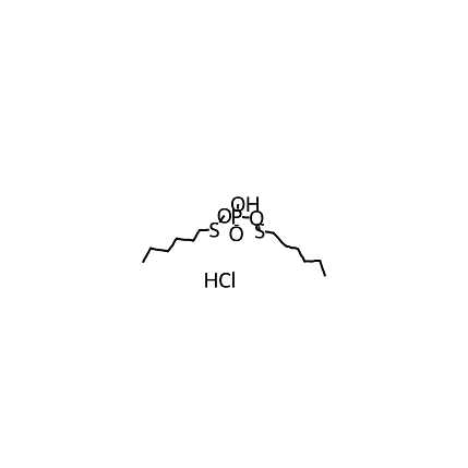 CCCCCCSOP(=O)(O)OSCCCCCC.Cl